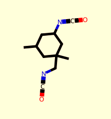 CC1CC(N=C=O)CC(C)(CN=C=O)C1